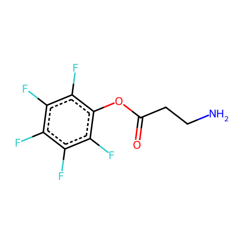 NCCC(=O)Oc1c(F)c(F)c(F)c(F)c1F